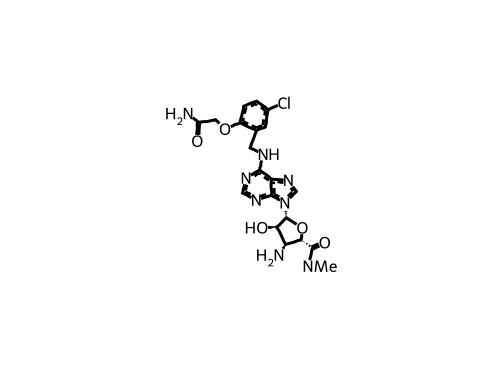 CNC(=O)[C@H]1O[C@@H](n2cnc3c(NCc4cc(Cl)ccc4OCC(N)=O)ncnc32)[C@H](O)[C@@H]1N